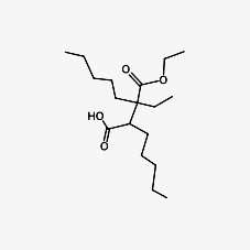 CCCCCC(C(=O)O)C(CC)(CCCCC)C(=O)OCC